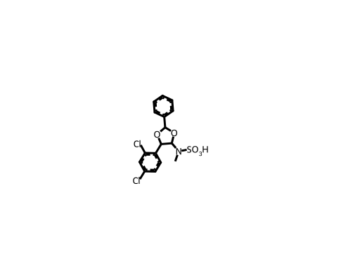 CN(C1OC(c2ccccc2)OC1c1ccc(Cl)cc1Cl)S(=O)(=O)O